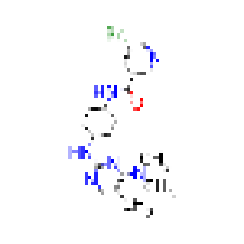 Cc1cnc(NC2CCC(NC(=O)c3cncc(Br)c3)CC2)nc1N(C)C